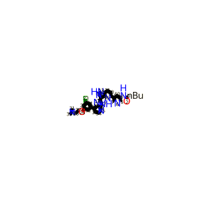 CCCCC(=O)Nc1cncc(-c2ccc3[nH]nc(-c4nc5c(-c6cc(F)cc(OCCN(C)C)c6)ccnc5[nH]4)c3n2)c1